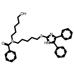 O=C(c1ccccc1)N(CCCCCO)CCCCCSc1nc(-c2ccccc2)c(-c2ccccc2)[nH]1